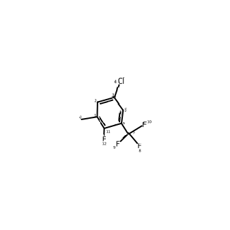 Cc1cc(Cl)cc(C(F)(F)F)c1F